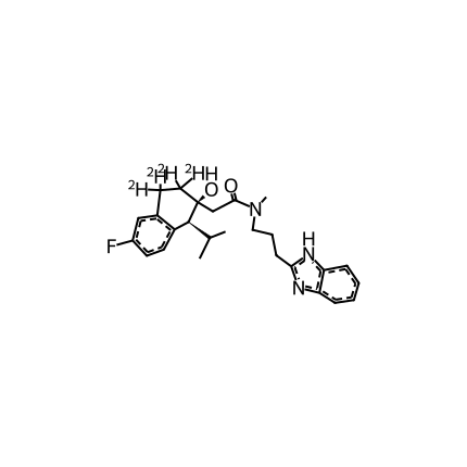 [2H]C1([2H])c2cc(F)ccc2[C@H](C(C)C)[C@@](O)(CC(=O)N(C)CCCc2nc3ccccc3[nH]2)C1([2H])[2H]